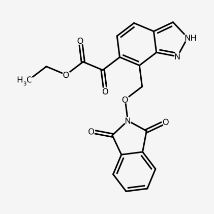 CCOC(=O)C(=O)c1ccc2c[nH]nc2c1CON1C(=O)c2ccccc2C1=O